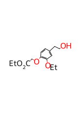 CCOC(=O)COc1ccc(CCO)cc1OCC